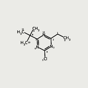 CCc1nc(Cl)nc(C(C)(C)C)n1